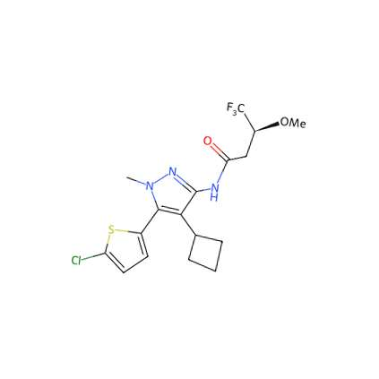 CO[C@@H](CC(=O)Nc1nn(C)c(-c2ccc(Cl)s2)c1C1CCC1)C(F)(F)F